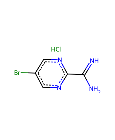 Cl.N=C(N)c1ncc(Br)cn1